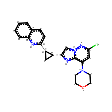 Clc1cc(N2CCOCC2)c2nc([C@@H]3C[C@@H]3c3ccc4ccccc4n3)cn2n1